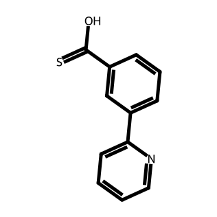 OC(=S)c1cccc(-c2ccccn2)c1